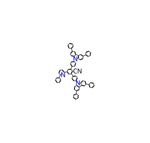 N#Cc1c(-c2ccc(-n3c4ccc(-c5ccccc5)cc4c4cc(-c5ccccc5)ccc43)cc2)cc(-c2cccc(-c3ccccc3)n2)cc1-c1ccc(-n2c3ccc(-c4ccccc4)cc3c3cc(-c4ccccc4)ccc32)cc1